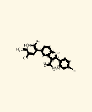 C=C/C(Cl)=C\C(=C(/N)F)c1ccc2oc(-c3ccc(F)cc3)c(C(=O)NC)c2c1